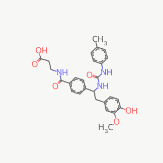 COc1cc(CC(NC(=O)Nc2ccc(C)cc2)c2ccc(C(=O)NCCC(=O)O)cc2)ccc1O